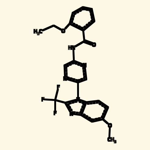 CCOc1ccccc1C(=O)Nc1cnc(-n2c(C(F)(F)F)nc3cc(OC)ccc32)cn1